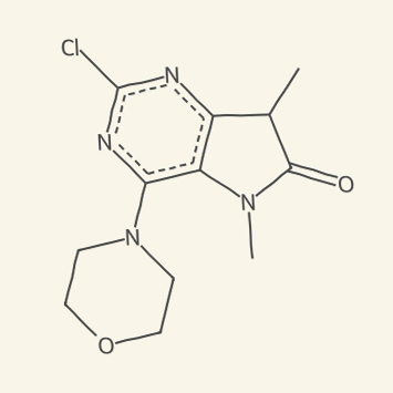 CC1C(=O)N(C)c2c1nc(Cl)nc2N1CCOCC1